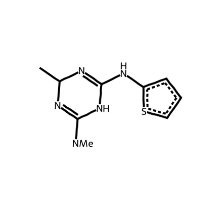 CNC1=NC(C)N=C(Nc2cccs2)N1